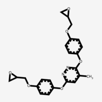 Cc1cc(Oc2ccc(OCC3CO3)cc2)nnc1Oc1ccc(OCC2CO2)cc1